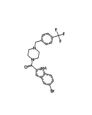 O=C(c1cc2cc(Br)ccc2[nH]1)N1CCN(Cc2ccc(C(F)(F)F)cc2)CC1